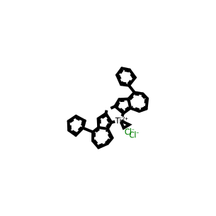 Cc1cc2c(-c3ccccc3)ccccc-2[c]1[Ti+2]1([c]2c(C)cc3c(-c4ccccc4)ccccc2-3)[CH2][CH2]1.[Cl-].[Cl-]